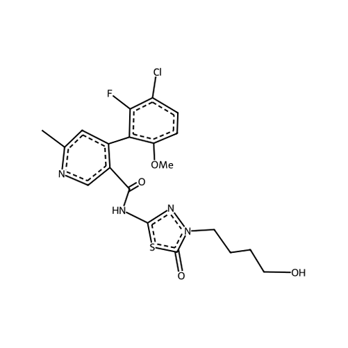 COc1ccc(Cl)c(F)c1-c1cc(C)ncc1C(=O)Nc1nn(CCCCO)c(=O)s1